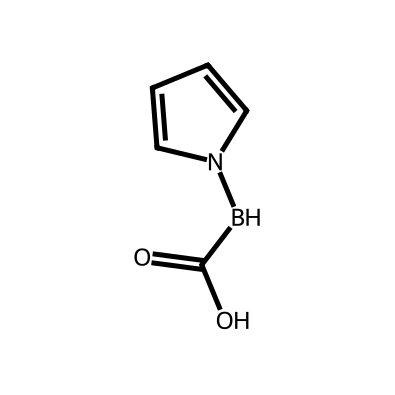 O=C(O)Bn1cccc1